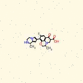 C[C@@H]1NCCn2cc(-c3c(F)cc4c5c3OC[C@H](C)N5CC(C(=O)O)C4=O)cc21